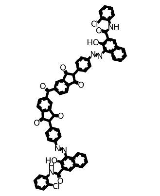 O=C(c1ccc2c(c1)C(=O)C(c1ccc(N=Nc3c(O)c(C(=O)Nc4ccccc4Cl)cc4ccccc34)cc1)C2=O)c1ccc2c(c1)C(=O)C(c1ccc(N=Nc3c(O)c(C(=O)Nc4ccccc4Cl)cc4ccccc34)cc1)C2=O